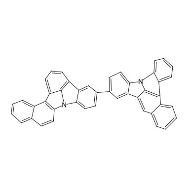 c1ccc2c(c1)ccc1c2c2cccc3c4cc(-c5ccc6c(c5)c5cc7ccccc7c7c8ccccc8n6c57)ccc4n1c32